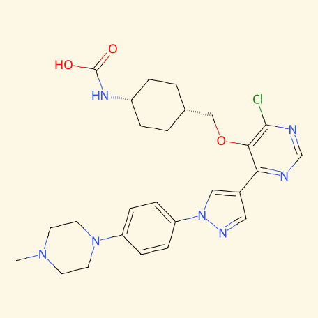 CN1CCN(c2ccc(-n3cc(-c4ncnc(Cl)c4OC[C@H]4CC[C@@H](NC(=O)O)CC4)cn3)cc2)CC1